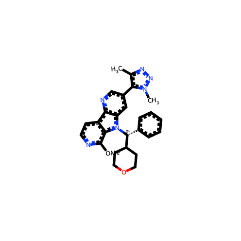 COc1nccc2c3ncc(-c4c(C)nnn4C)cc3n([C@H](c3ccccc3)C3CCOCC3)c12